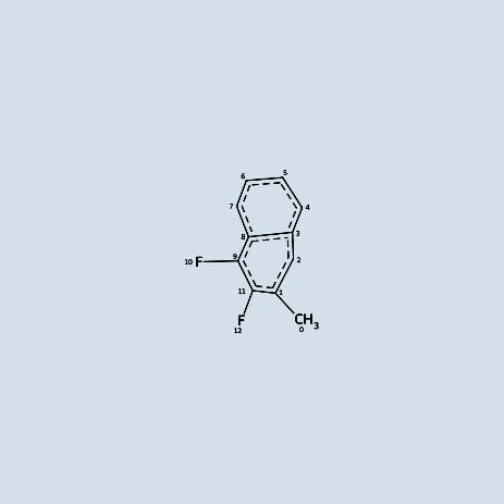 Cc1cc2ccccc2c(F)c1F